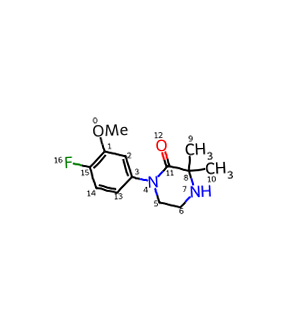 COc1cc(N2CCNC(C)(C)C2=O)ccc1F